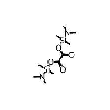 CN(C)[Si](C)(C)OC(=O)C(=O)O[Si](C)(C)N(C)C